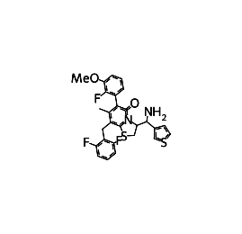 COc1cccc(-c2c(C)c(Cc3c(F)cccc3F)c3n(c2=O)C(C(N)c2ccsc2)CS3)c1F